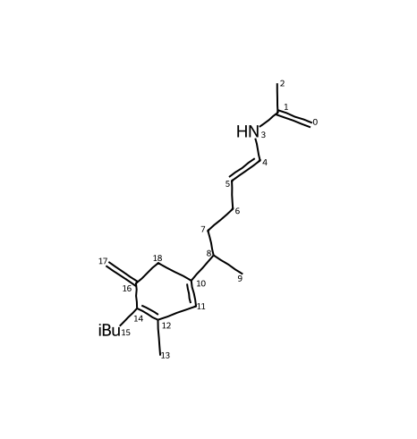 C=C(C)N/C=C/CCC(C)C1=CC(C)=C(C(C)CC)C(=C)C1